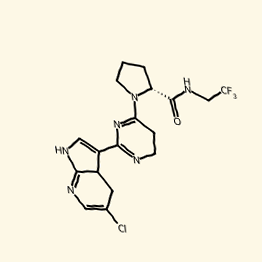 O=C(NCC(F)(F)F)[C@H]1CCCN1C1=NC(C2=CNC3=NC=C(Cl)CC23)=NCC1